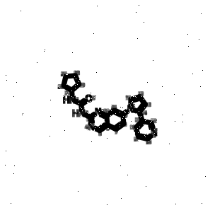 O=C(Nc1ncc2ccc(-n3cccc3-c3cccnc3)cc2n1)NC1CCCC1